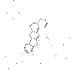 [CH]1C2=CC3=c4ccccc4=CCC3CC2c2ccccc21